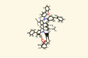 Cc1ccc2c(oc3ccccc32)c1N(c1ccc(-c2ccccc2)cc1)c1cc(C(C)C)c2ccc3c(N(c4ccc(-c5ccccc5)cc4)c4c(C)ccc5c4oc4ccccc45)cc(C(C)C)c4ccc1c2c43